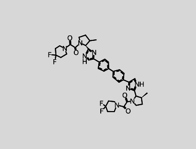 CC1CCN(C(=O)C(=O)N2CCC(F)(F)CC2)[C@@H]1c1nc(-c2ccc(-c3ccc(-c4c[nH]c(C5[C@@H](C)CCN5C(=O)C(=O)N5CCC(F)(F)CC5)n4)cc3)cc2)c[nH]1